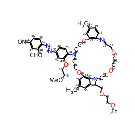 CCOCCOCCN1CCOCCOC/C=N/c2ccc(C)cc2OCCN(c2ccc(/N=N/c3ccc(N=O)cc3C=O)cc2OCCOC)CCOc2cc(C)ccc21